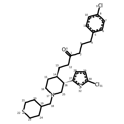 O=C(CCCc1ccc(Cl)cc1)CC[C@@H]1CCN(CC2CCSCC2)C[C@H]1c1ccc(Cl)s1